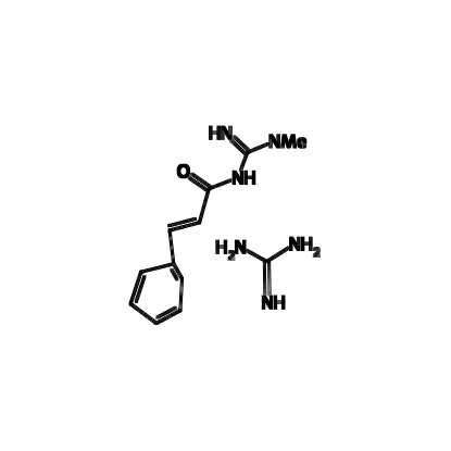 CNC(=N)NC(=O)C=Cc1ccccc1.N=C(N)N